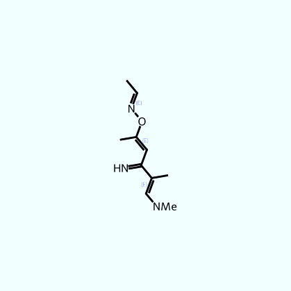 C/C=N/O/C(C)=C/C(=N)/C(C)=C/NC